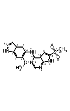 COc1cc2[nH]ncc2cc1Nc1ncnc2[nH]c(S(C)(=O)=O)cc12